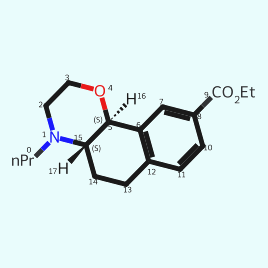 CCCN1CCO[C@H]2c3cc(C(=O)OCC)ccc3CC[C@@H]21